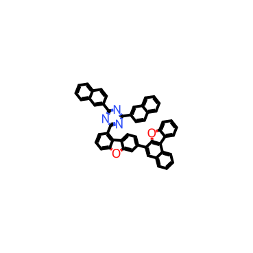 c1ccc2cc(-c3nc(-c4ccc5ccccc5c4)nc(-c4cccc5oc6cc(-c7cc8ccccc8c8c7oc7ccccc78)ccc6c45)n3)ccc2c1